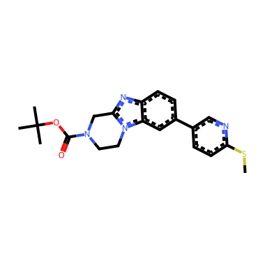 CSc1ccc(-c2ccc3nc4n(c3c2)CCN(C(=O)OC(C)(C)C)C4)cn1